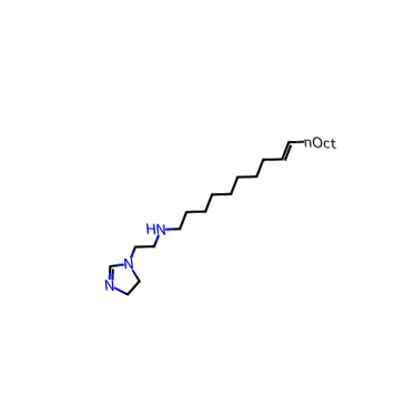 CCCCCCCCC=CCCCCCCCCNCCN1C=NCC1